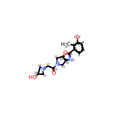 Cc1c(Br)cccc1-c1nc2c(o1)CN(C(=O)CN1CC(O)C1)C2